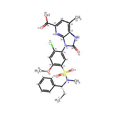 CC[C@H](c1ccccc1)N(C)S(=O)(=O)c1cc(-n2c(=O)[nH]c3c(C)cc(C(=O)O)nc32)c(Cl)cc1OC